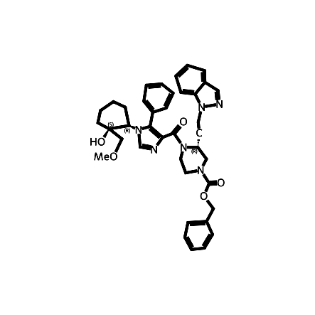 COC[C@]1(O)CCCC[C@H]1n1cnc(C(=O)N2CCN(C(=O)OCc3ccccc3)C[C@H]2CCn2ncc3ccccc32)c1-c1ccccc1